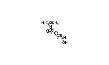 C[C@@H]1CN(c2nc(-c3ccc(NC(=O)NCCO)cc3)nn3cccc23)C[C@H](C)O1